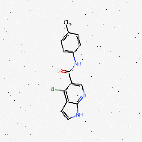 O=C(Nc1ccc(C(F)(F)F)cc1)c1cnc2[nH]ccc2c1Cl